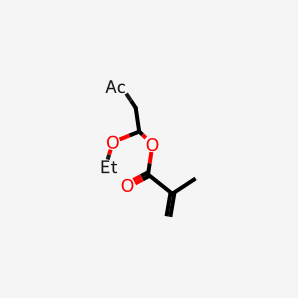 C=C(C)C(=O)OC(CC(C)=O)OCC